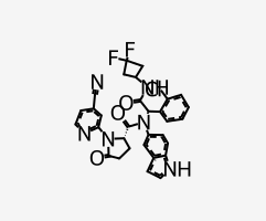 N#Cc1ccnc(N2C(=O)CC[C@H]2C(=O)N(c2ccc3[nH]ccc3c2)[C@H](C(=O)NC2CC(F)(F)C2)c2ccccc2Cl)c1